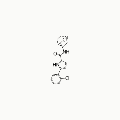 O=C(NC1CN2CCC1CC2)c1ccc(-c2ccccc2Cl)[nH]1